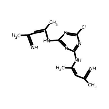 CC(=N)/C=C(/C)Nc1nc(Cl)nc(N/C(C)=C\C(C)=N)n1